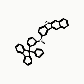 CN(c1cccc(C2(c3ccccc3)c3ccccc3-c3ccccc32)c1)c1ccc2sc3cc4ccccc4cc3c2c1